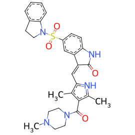 Cc1[nH]c(/C=C2\C(=O)Nc3ccc(S(=O)(=O)N4CCc5ccccc54)cc32)c(C)c1C(=O)N1CCN(C)CC1